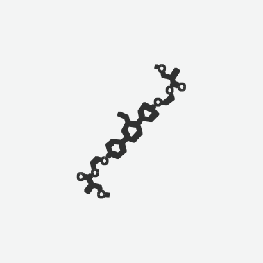 C=C(COC)C(=O)O/C=C\Oc1ccc(-c2ccc(-c3ccc(O/C=C\OC(=O)C(=C)COC)cc3)c(CC)c2)cc1